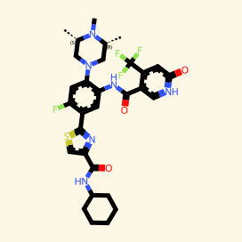 C[C@@H]1CN(c2cc(F)c(-c3nc(C(=O)NC4CCCCC4)cs3)cc2NC(=O)c2c[nH]c(=O)cc2C(F)(F)F)C[C@H](C)N1C